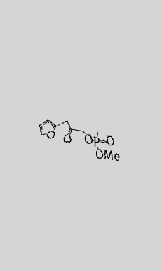 COP(C)(=O)OCC(=O)Cc1ccco1